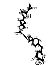 O=C(N1CC2(CCC(Cc3ccc(C(F)(F)F)cn3)CC2)C1)N1CC2(CC(c3nnc(C4CC4)[nH]3)C2)C1